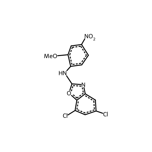 COc1cc([N+](=O)[O-])ccc1Nc1nc2cc(Cl)cc(Cl)c2o1